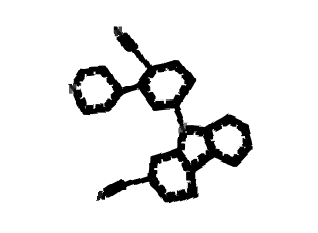 N#Cc1ccc2c3ccccc3n(-c3ccc(C#N)c(-c4ccncc4)c3)c2c1